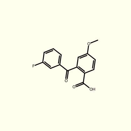 COc1ccc(C(=O)O)c(C(=O)c2cccc(F)c2)c1